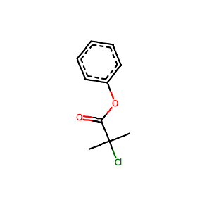 CC(C)(Cl)C(=O)Oc1ccccc1